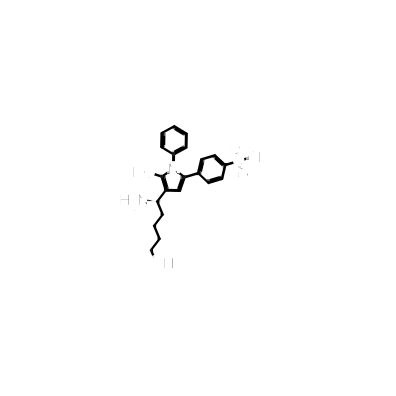 Cc1c([C@H](N)CCCCO)cc(-c2ccc(S(C)(=O)=O)cc2)n1-c1ccccc1